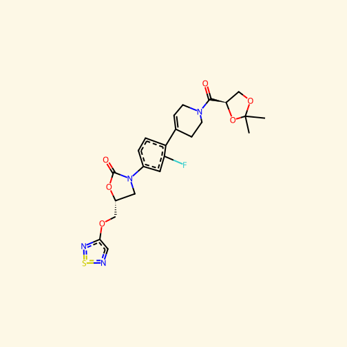 CC1(C)OC[C@H](C(=O)N2CC=C(c3ccc(N4C[C@H](COc5cnsn5)OC4=O)cc3F)CC2)O1